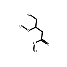 NOC(=O)CC(CO)ON